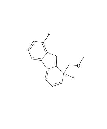 COCC1(F)C=CC=C2C1=Cc1c(F)cccc12